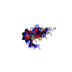 CC(C)C[C@H](NC(=O)[C@H](C)NC(=O)CNC(=O)[C@H](CC(=O)O)NC(=O)[C@H](C)NC(=O)[C@@H]1CCCN1C(=O)[C@@H]1CCCN1C(=O)[C@@H]1CCCN1C(=O)[C@@H]1CCCN1C(=O)[C@@H](NC(=O)[C@H](CCCNC(=N)N)NC(=O)CN)[C@@H](C)O)C(=O)N[C@@H](C)C(=O)N[C@H](C(=O)N[C@@H](C)C(=O)N[C@@H](CS)C(=O)N[C@@H](C)C(=O)N[C@@H](C)C(=O)N[C@@H](C)C(=O)N[C@@H](C)C(=O)O)[C@@H](C)O